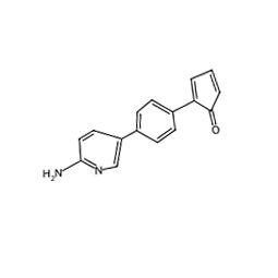 Nc1ccc(-c2ccc(C3=CC=CC3=O)cc2)cn1